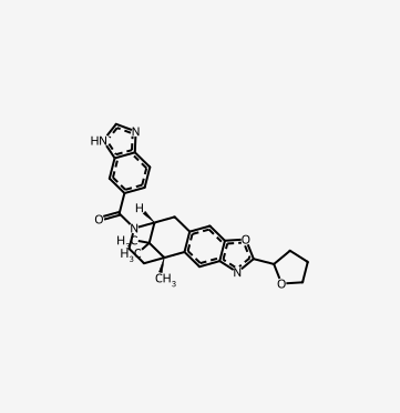 CC1(C)[C@H]2Cc3cc4oc(C5CCCO5)nc4cc3[C@]1(C)CCN2C(=O)c1ccc2nc[nH]c2c1